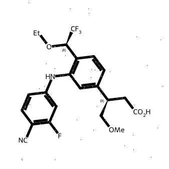 CCO[C@H](c1ccc([C@H](COC)CC(=O)O)cc1Nc1ccc(C#N)c(F)c1)C(F)(F)F